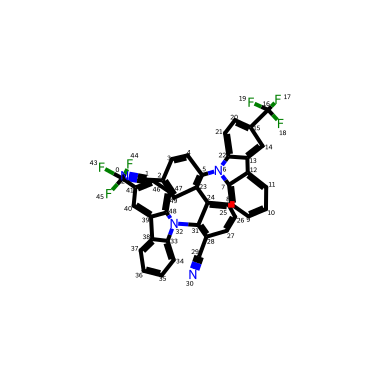 N#Cc1ccc(-n2c3ccccc3c3cc(C(F)(F)F)ccc32)c(-c2cccc(C#N)c2-n2c3ccccc3c3cc(C(F)(F)F)ccc32)c1